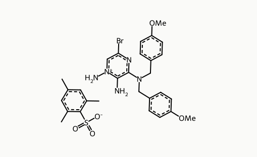 COc1ccc(CN(Cc2ccc(OC)cc2)c2nc(Br)c[n+](N)c2N)cc1.Cc1cc(C)c(S(=O)(=O)[O-])c(C)c1